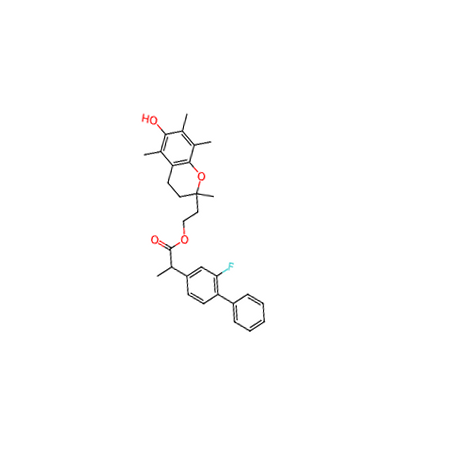 Cc1c(C)c2c(c(C)c1O)CCC(C)(CCOC(=O)C(C)c1ccc(-c3ccccc3)c(F)c1)O2